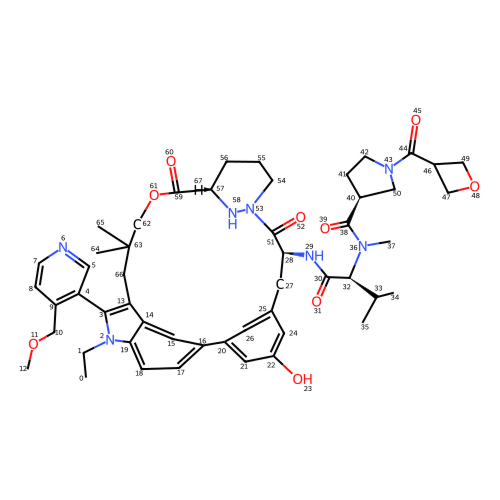 CCn1c(-c2cnccc2COC)c2c3cc(ccc31)-c1cc(O)cc(c1)C[C@H](NC(=O)[C@H](C(C)C)N(C)C(=O)[C@H]1CCN(C(=O)C3COC3)C1)C(=O)N1CCC[C@H](N1)C(=O)OCC(C)(C)C2